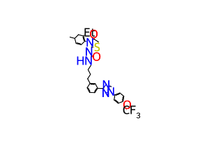 CCC1=C(N2C(=O)CS/C2=N\C(=O)NCCCCc2cccc(-c3ncn(-c4ccc(OC(F)(F)F)cc4)n3)c2)C=CC(C)C1